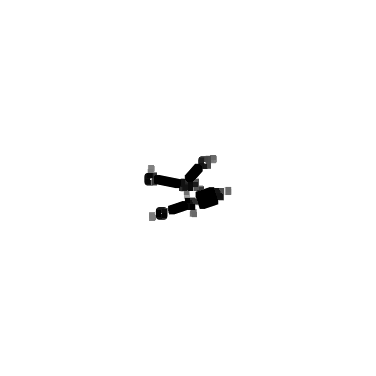 Cl[SiH2]Cl.N#[N+][O-]